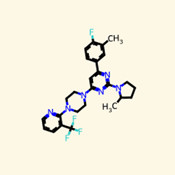 Cc1cc(-c2cc(N3CCN(c4ncccc4C(F)(F)F)CC3)nc(N3CCCC3C)n2)ccc1F